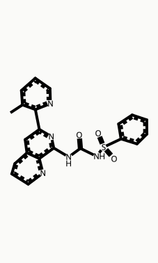 Cc1cccnc1-c1cc2cccnc2c(NC(=O)NS(=O)(=O)c2ccccc2)n1